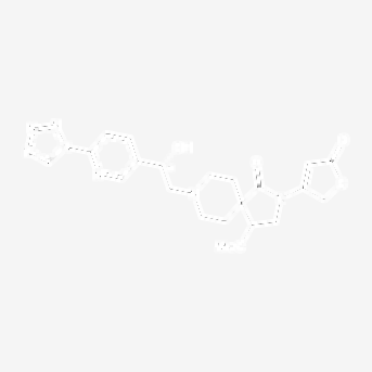 COC1CN(C2=CC(=O)OC2)C(=O)C12CCN(C[C@@H](O)c1ccc(-n3cnnn3)nc1)CC2